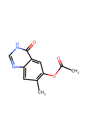 CC(=O)Oc1cc2c(=O)[nH]cnc2cc1C